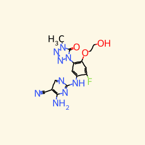 Cn1nnn(-c2cc(Nc3ncc(C#N)c(N)n3)c(F)cc2OCCO)c1=O